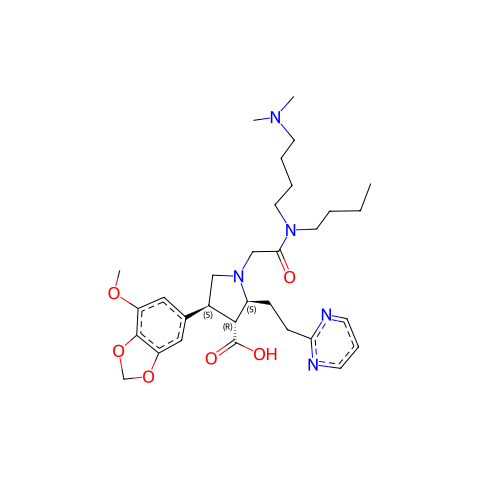 CCCCN(CCCCN(C)C)C(=O)CN1C[C@H](c2cc(OC)c3c(c2)OCO3)[C@@H](C(=O)O)[C@@H]1CCc1ncccn1